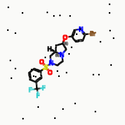 O=S(=O)(c1cccc(C(F)(F)F)c1)N1CCN2C[C@H](Oc3ccc(Br)nc3)C[C@H]2C1